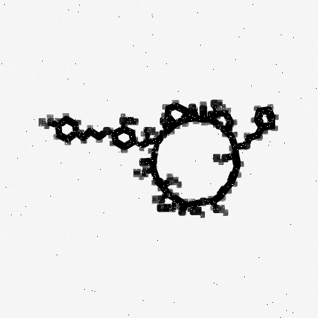 CO[C@@H]1C[C@H](C[C@@H](C)[C@@H]2CC(=O)[C@H](C)/C=C(\C)[C@@H](O)[C@@H](OC)C(=O)[C@H](C)C[C@H](C)/C=C/C=C/C=C(\C)C(OCCc3ccccc3)C[C@@H]3CC[C@@H](C)[C@@](O)(O3)C(=O)C(=O)N3CCCCC3C(=O)O2)CC[C@H]1OCCCN1CCN(C)CC1